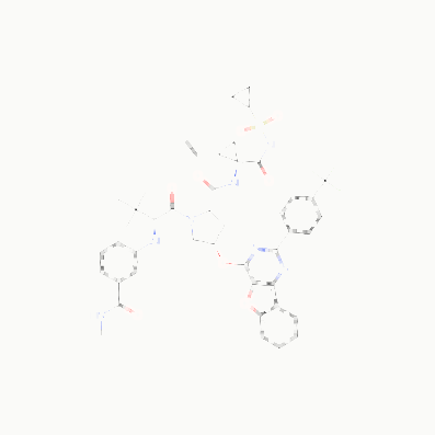 C=C[C@@H]1C[C@]1(NC(=O)[C@@H]1C[C@@H](Oc2nc(-c3ccc(C(F)(F)F)cc3)nc3c2oc2ccccc23)CN1C(=O)[C@@H](Nc1cccc(C(=O)NC)c1)C(C)(C)C)C(=O)NS(=O)(=O)C1CC1